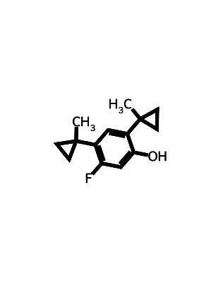 CC1(c2cc(C3(C)CC3)c(F)cc2O)CC1